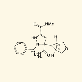 CC[C@@H](c1ccccc1)N1NC(C(=O)NC)=CC1(C(N)=O)C1[C@H]2COC[C@@H]12